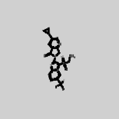 CCS(=O)(=O)c1c(N2Cc3ncc(C4CC4)cc3C2=O)nc2ccc(C(F)(F)F)cn12